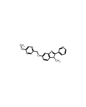 COc1cnc(COc2ccc3c(c2)nc(-c2cccnc2)n3C)cn1